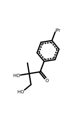 CC(C)c1ccc(C(=O)C(C)(O)CO)cc1